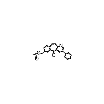 CS(=O)OCc1ccc2ccc3ncc(-c4ccccc4)cc3c(=O)c2c1